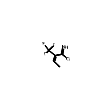 C/C=C(\C(=N)Cl)C(F)(F)F